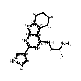 C[C@@H](N)CNc1nc(-c2cn[nH]c2)nc2sc3c(c12)CCCC3